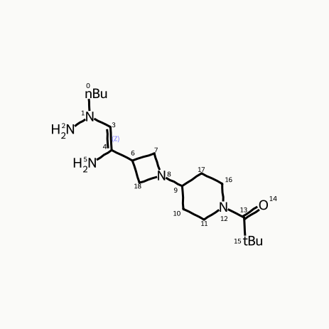 CCCCN(N)/C=C(\N)C1CN(C2CCN(C(=O)C(C)(C)C)CC2)C1